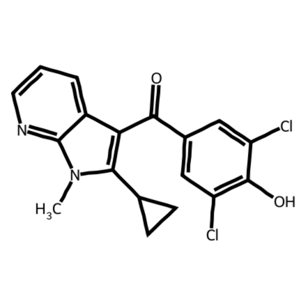 Cn1c(C2CC2)c(C(=O)c2cc(Cl)c(O)c(Cl)c2)c2cccnc21